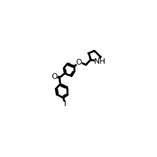 O=C(c1ccc(I)cc1)c1ccc(OCC2CCCN2)cc1